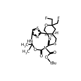 CC(C)(C)OC(=O)N1C(=O)OC(C)(C)Nc2csc(n2)[C@]23COC(CF)(CF)C[C@H]2CSC1=N3